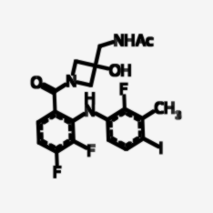 CC(=O)NCC1(O)CN(C(=O)c2ccc(F)c(F)c2Nc2ccc(I)c(C)c2F)C1